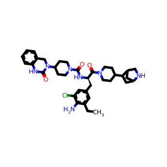 CCc1cc(C[C@@H](NC(=O)N2CCC(N3Cc4ccccc4NC3=O)CC2)C(=O)N2CCC(C3CC4CC3CN4)CC2)cc(Cl)c1N